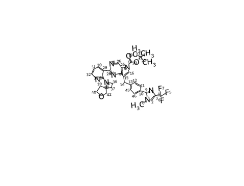 Cn1cc(C(F)(F)F)nc1-c1ccc(Cc2cn(C(=O)OC(C)(C)C)c3cnc(-c4cccnc4N4CCC45CCOC5)nc23)cc1